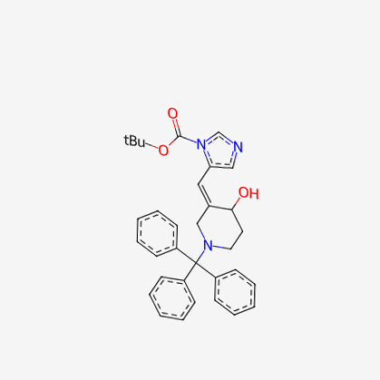 CC(C)(C)OC(=O)n1cncc1C=C1CN(C(c2ccccc2)(c2ccccc2)c2ccccc2)CCC1O